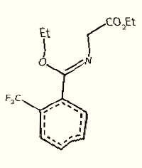 CCOC(=O)CN=C(OCC)c1ccccc1C(F)(F)F